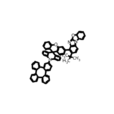 CC(C)(C)c1ccc2c(nc3n2C2C=CC=CC2O3)c1-c1ccc2c(c1)Oc1ccccc1C21c2ccccc2N(c2ccc3c(c2)-c2ccccc2-c2ccccc2-c2ccccc2-3)c2ccccc21